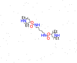 CCC1(C)CC(OC(=O)NCCCCCCNC(=O)OC2CC(C)(CC)NC(C)(CC)C2C)C(C)C(C)(CC)N1